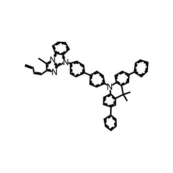 C=C/C=C\c1nc2n(-c3ccc(-c4ccc(N5c6ccc(-c7ccccc7)cc6C(C)(C)c6cc(-c7ccccc7)ccc65)cc4)cc3)c3ccccc3n2c1C